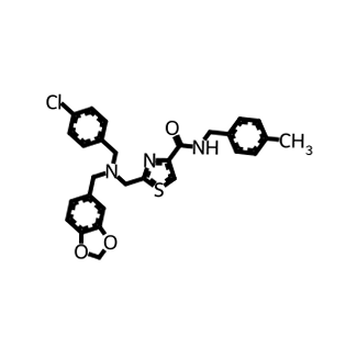 Cc1ccc(CNC(=O)c2csc(CN(Cc3ccc(Cl)cc3)Cc3ccc4c(c3)OCO4)n2)cc1